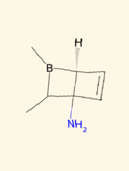 CB1C(C)C2(N)C=C[C@H]12